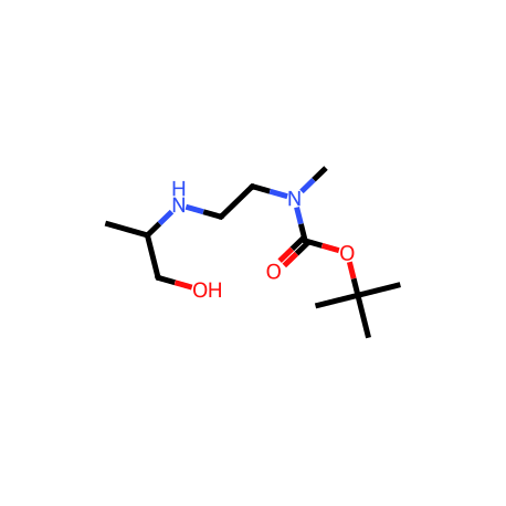 CC(CO)NCCN(C)C(=O)OC(C)(C)C